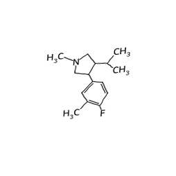 Cc1cc(C2CN(C)CC2C(C)C)ccc1F